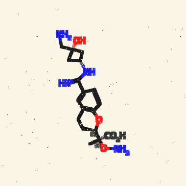 C[C@@](ON)(C(=O)O)[C@H]1CCc2cc(C(=N)N[C@H]3C[C@](O)(CN)C3)ccc2O1